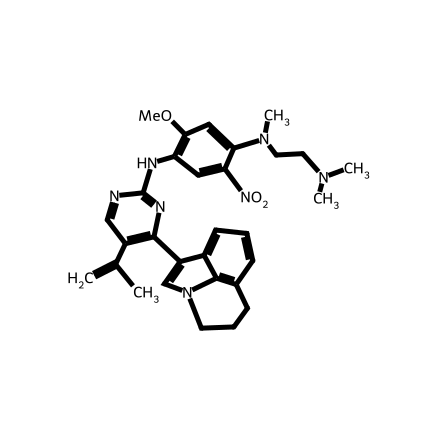 C=C(C)c1cnc(Nc2cc([N+](=O)[O-])c(N(C)CCN(C)C)cc2OC)nc1-c1cn2c3c(cccc13)CCC2